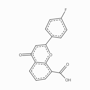 O=C(O)c1cccc2c(=O)cc(-c3ccc(F)cc3)oc12